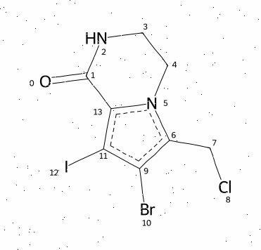 O=C1NCCn2c(CCl)c(Br)c(I)c21